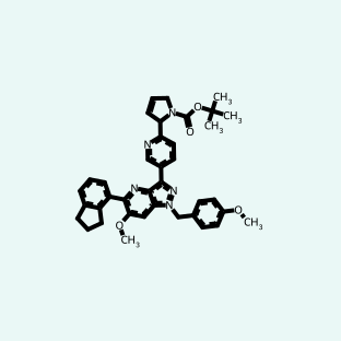 COc1ccc(Cn2nc(-c3ccc(C4C=CCN4C(=O)OC(C)(C)C)nc3)c3nc(-c4cccc5c4CCC5)c(OC)cc32)cc1